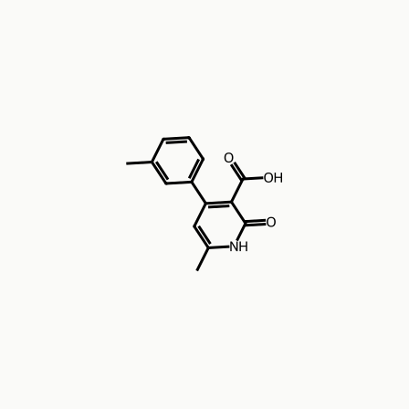 Cc1cccc(-c2cc(C)[nH]c(=O)c2C(=O)O)c1